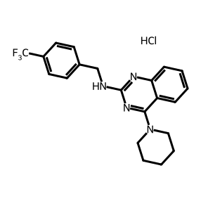 Cl.FC(F)(F)c1ccc(CNc2nc(N3CCCCC3)c3ccccc3n2)cc1